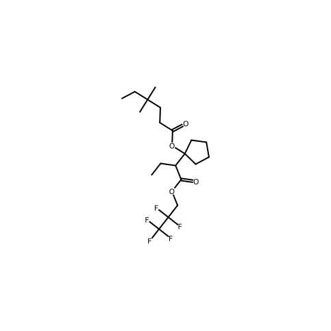 CCC(C(=O)OCC(F)(F)C(F)(F)F)C1(OC(=O)CCC(C)(C)CC)CCCC1